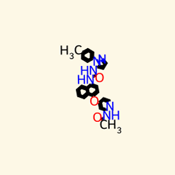 CC(=O)Nc1cc(Oc2ccc(NC(=O)Nc3ccnn3-c3ccc(C)cc3)c3ccccc23)ccn1